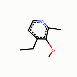 CCc1ccnc(C)c1OC